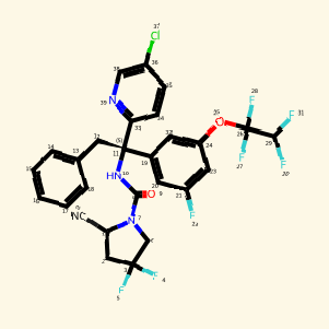 N#CC1CC(F)(F)CN1C(=O)N[C@@](Cc1ccccc1)(c1cc(F)cc(OC(F)(F)C(F)F)c1)c1ccc(Cl)cn1